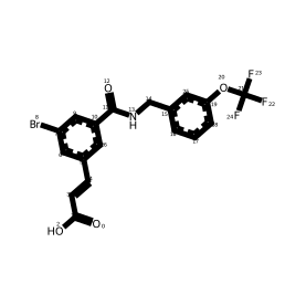 O=C(O)/C=C/c1cc(Br)cc(C(=O)NCc2cccc(OC(F)(F)F)c2)c1